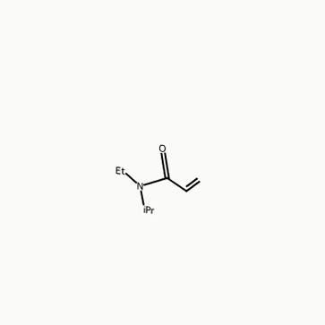 [CH2]CN(C(=O)C=C)C(C)C